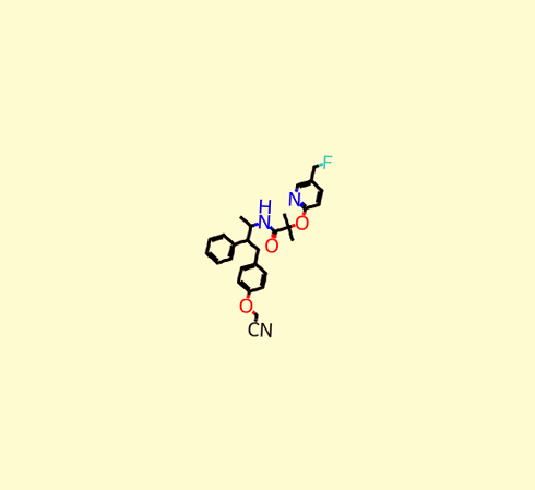 CC(NC(=O)C(C)(C)Oc1ccc(CF)cn1)C(Cc1ccc(OCC#N)cc1)c1ccccc1